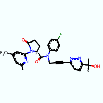 Cc1cc(C(F)(F)F)cc(N2C(=O)CC[C@H]2C(=O)N(CC#Cc2ccc(C(C)(C)O)nn2)c2ccc(F)cc2)n1